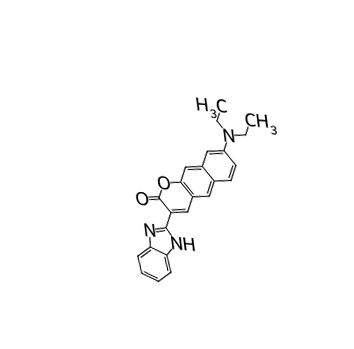 CCN(CC)c1ccc2cc3cc(-c4nc5ccccc5[nH]4)c(=O)oc3cc2c1